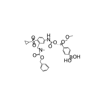 COCO[C@@H](COC(=O)Nc1ccc(S(=O)(=O)C2CC2)c(CN(C)C(=O)OCc2ccccc2)c1)c1ccc(B(O)O)cc1